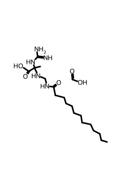 CCCCCCCCCCCCC(=O)NCNC(C)(NC(=N)N)C(=O)O.O=CO